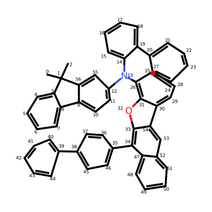 CC1(C)c2ccccc2-c2ccc(N(c3ccccc3-c3ccccc3)c3cccc4c3oc3c(-c5ccc(-c6ccccc6)cc5)c5ccccc5cc34)cc21